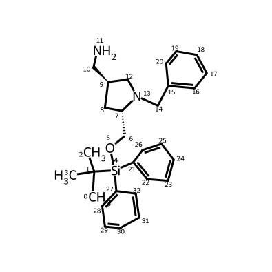 CC(C)(C)[Si](OC[C@@H]1C[C@@H](CN)CN1Cc1ccccc1)(c1ccccc1)c1ccccc1